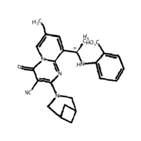 Cc1cc([C@@H](C)Nc2ccccc2C(=O)O)c2nc(N3CC4CC(C4)C3)c(C#N)c(=O)n2c1